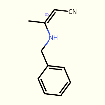 C/C(=C/C#N)NCc1ccccc1